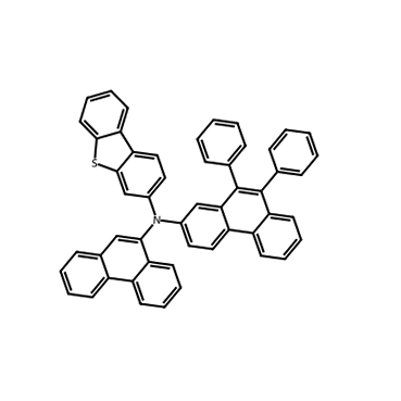 c1ccc(-c2c(-c3ccccc3)c3cc(N(c4ccc5c(c4)sc4ccccc45)c4cc5ccccc5c5ccccc45)ccc3c3ccccc23)cc1